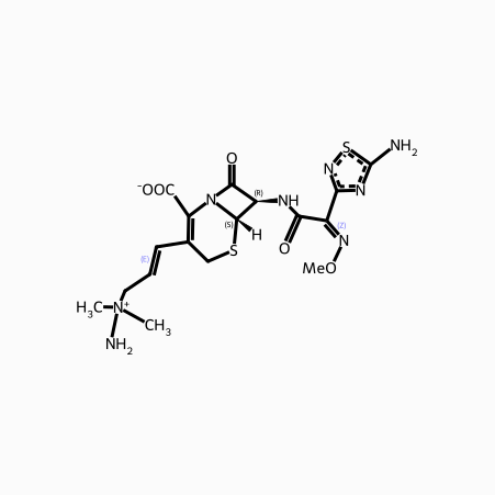 CO/N=C(\C(=O)N[C@@H]1C(=O)N2C(C(=O)[O-])=C(/C=C/C[N+](C)(C)N)CS[C@@H]12)c1nsc(N)n1